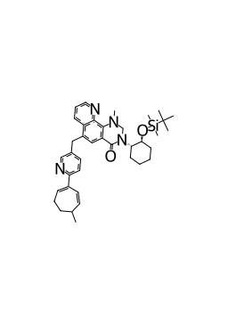 CC1C=CC(c2ccc(Cc3cc4c(c5ncccc35)N(C)CN([C@H]3CCCC[C@@H]3O[Si](C)(C)C(C)(C)C)C4=O)cn2)=CCC1